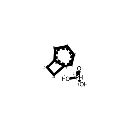 O=[PH](O)O.c1ccc2c(c1)CC2